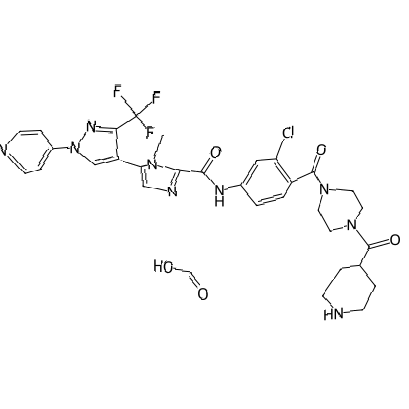 Cn1c(-c2cn(-c3ccncc3)nc2C(F)(F)F)cnc1C(=O)Nc1ccc(C(=O)N2CCN(C(=O)C3CCNCC3)CC2)c(Cl)c1.O=CO